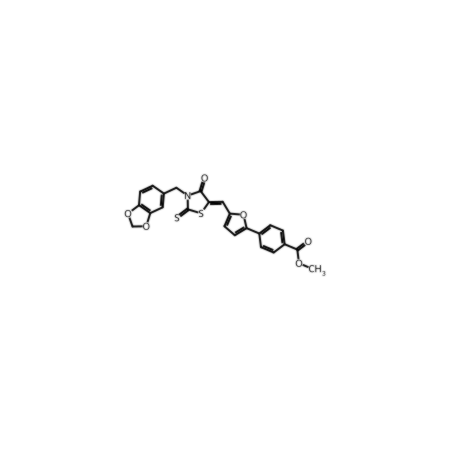 COC(=O)c1ccc(-c2ccc(C=C3SC(=S)N(Cc4ccc5c(c4)OCO5)C3=O)o2)cc1